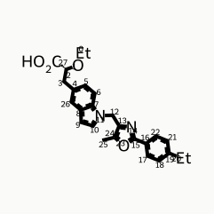 CCO[C@H](Cc1ccc2c(ccn2Cc2nc(-c3ccc(CC)cc3)oc2C)c1)C(=O)O